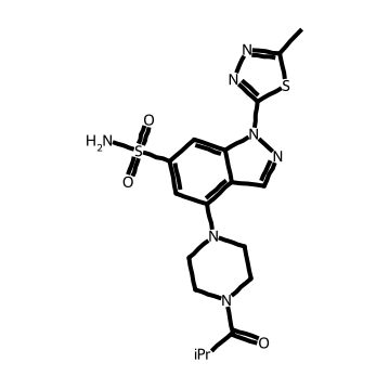 Cc1nnc(-n2ncc3c(N4CCN(C(=O)C(C)C)CC4)cc(S(N)(=O)=O)cc32)s1